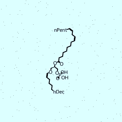 CCCCC/C=C\C/C=C\CCCCCCCC(=O)O[C@H](CO/C=C\CCCCCCCCCCCCCC)COP(=O)(O)O